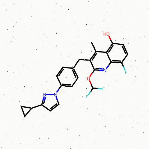 Cc1c(Cc2ccc(-n3ccc(C4CC4)n3)cc2)c(OC(F)F)nc2c(F)ccc(O)c12